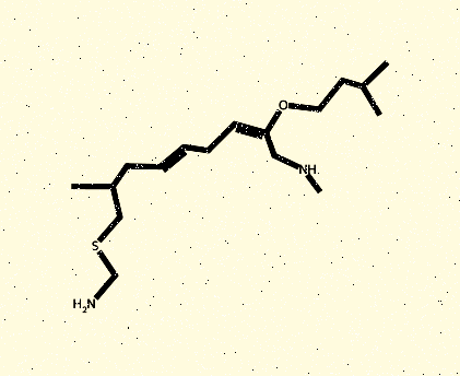 CNC/C(=C\C/C=C/CC(C)CSCN)OCCC(C)C